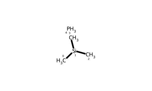 C[Si](C)C.P